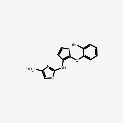 CCOC(=O)c1csc(Nc2ccsc2Oc2ccccc2C(C)(C)C)n1